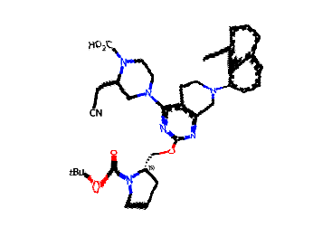 Cc1cccc2cccc(N3CCc4c(nc(OC[C@@H]5CCCN5C(=O)OC(C)(C)C)nc4N4CCN(C(=O)O)C(CC#N)C4)C3)c12